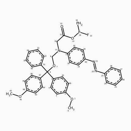 COc1ccc(C(OCN(CC(=O)OP(F)P)c2ccc(N=Nc3ccccc3)cc2)(c2ccccc2)c2ccc(OC)cc2)cc1